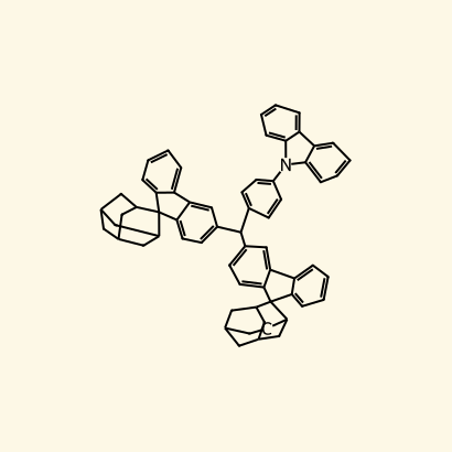 c1ccc2c(c1)-c1cc(C(c3ccc(-n4c5ccccc5c5ccccc54)cc3)c3ccc4c(c3)-c3ccccc3C43C4CC5CC(C4)CC3C5)ccc1C21C2CCC3CC(C2)CC1C3